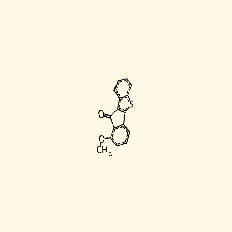 COc1cccc2c1C(=O)c1c-2sc2ccccc12